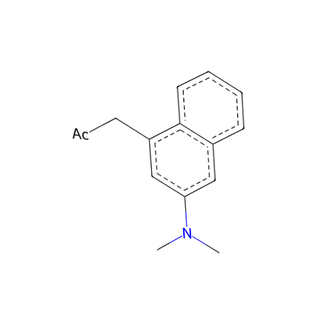 CC(=O)Cc1cc(N(C)C)cc2ccccc12